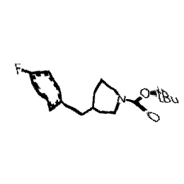 CC(C)(C)OC(=O)N1CCCC(Cc2ccc(F)cc2)CC1